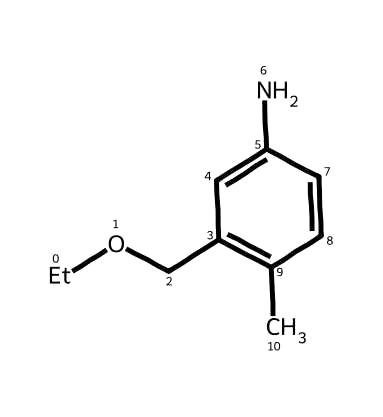 CCOCc1cc(N)ccc1C